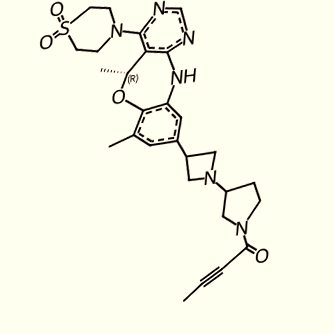 CC#CC(=O)N1CCC(N2CC(c3cc(C)c4c(c3)Nc3ncnc(N5CCS(=O)(=O)CC5)c3[C@@H](C)O4)C2)C1